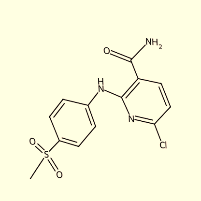 CS(=O)(=O)c1ccc(Nc2nc(Cl)ccc2C(N)=O)cc1